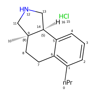 CCCc1cccc2c1CC[C@@]1(C)CNC[C@@H]21.Cl